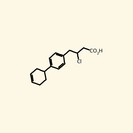 O=C(O)CC(Cl)Cc1ccc(C2CC=CCC2)cc1